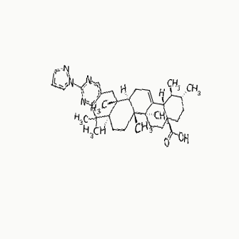 C[C@H]1[C@H](C)CC[C@]2(C(=O)O)CC[C@]3(C)C(=CC[C@@H]4[C@@]5(C)Cc6cnc(-n7cccn7)nc6C(C)(C)[C@@H]5CC[C@]43C)[C@H]12